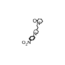 O=C1CCCCN1CCC1CCN(c2ccc([N+](=O)[O-])cc2)CC1